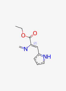 C=N/C(=C\c1ccc[nH]1)C(=O)OCC